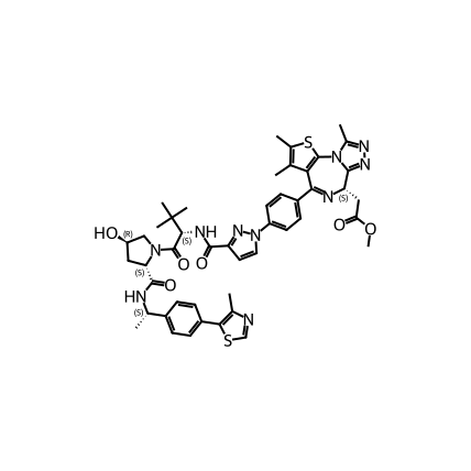 COC(=O)C[C@@H]1N=C(c2ccc(-n3ccc(C(=O)N[C@H](C(=O)N4C[C@H](O)C[C@H]4C(=O)N[C@@H](C)c4ccc(-c5scnc5C)cc4)C(C)(C)C)n3)cc2)c2c(sc(C)c2C)-n2c(C)nnc21